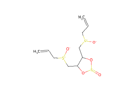 C=CC[S+]([O-])CC1OS(=O)OC1C[S+]([O-])CC=C